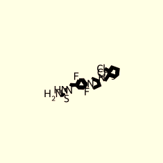 CN(Cc1ccccc1Cl)[C@H]1CCN(c2cc(F)c(C=NNC(N)=S)cc2F)C1